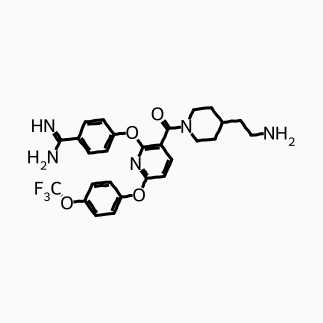 N=C(N)c1ccc(Oc2nc(Oc3ccc(OC(F)(F)F)cc3)ccc2C(=O)N2CCC(CCN)CC2)cc1